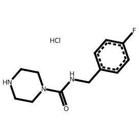 Cl.O=C(NCc1ccc(F)cc1)N1CCNCC1